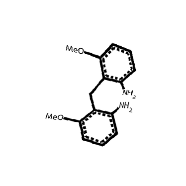 COc1cccc(N)c1Cc1c(N)cccc1OC